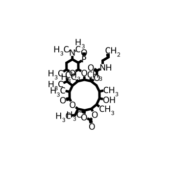 C=CCNC(=O)OC1(C)CC(C)C(O)C(C)C2OC(=O)OC2(C)C(CC)OC(=O)C(C)C(C(C)C)C(C)C1OC1OC(C)CC(N(C)C)C1P=O